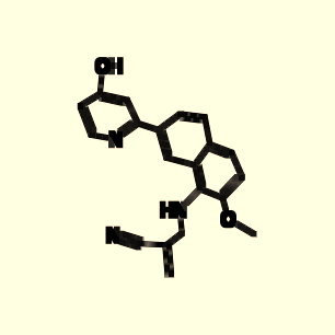 C=C(C#N)CNc1c(OC)ccc2ccc(-c3cc(O)ccn3)cc12